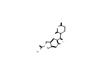 CC(C)(C)OC(=O)N1Cc2cc3onc(C4CCC(=O)NC4=O)c3cc2C1